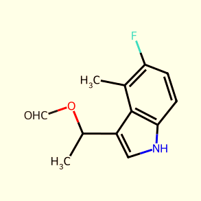 Cc1c(F)ccc2[nH]cc(C(C)OC=O)c12